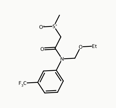 CCOCN(C(=O)C[S+](C)[O-])c1cccc(C(F)(F)F)c1